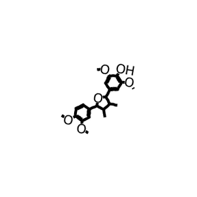 COc1ccc(C2OC(c3cc(OC)c(O)c(OC)c3)C(C)C2C)cc1OC